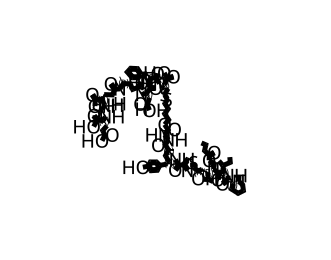 CCCC(=O)OCN(C(=O)[C@@H](NC(=O)[C@H]1CCCCN1C)C(C)CC)[C@H](C[C@@H](O)c1nc(C(=O)N[C@@H](Cc2ccc(O)cc2)C[C@H](C)C(=O)NNC(=O)OCCCCSSC[C@H](NC(=O)[C@H](Cc2ccccc2)NC(=O)[C@H](CC(=O)O)NC(=O)CC[C@@H](C)NC(=O)CC[C@@H](NC(=S)N[C@H](CCC(=O)O)C(=O)O)C(=O)O)C(=O)O)cs1)C(C)C